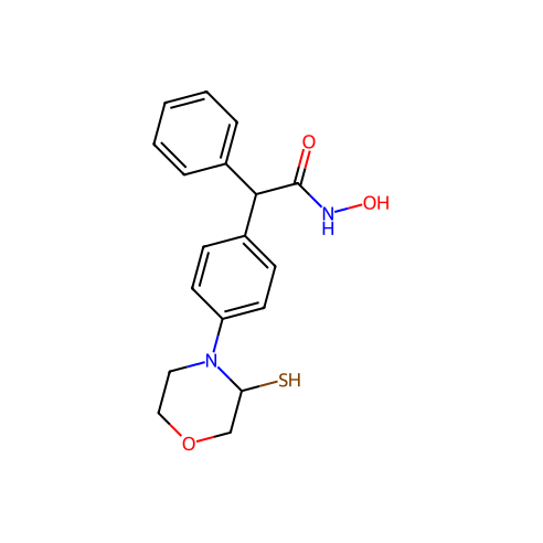 O=C(NO)C(c1ccccc1)c1ccc(N2CCOCC2S)cc1